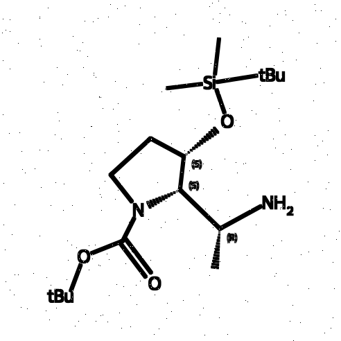 C[C@@H](N)[C@H]1[C@@H](O[Si](C)(C)C(C)(C)C)CCN1C(=O)OC(C)(C)C